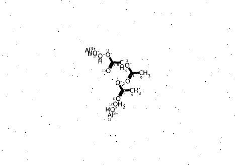 CC(=O)[O-].CC(=O)[O-].CC(=O)[O-].O.[Al+3].[Al+3].[OH-].[OH-].[OH-]